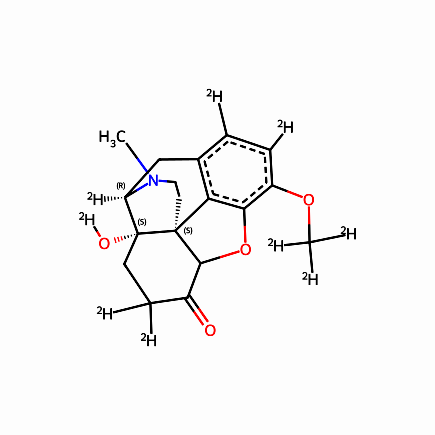 [2H]O[C@@]12CC([2H])([2H])C(=O)C3Oc4c(OC([2H])([2H])[2H])c([2H])c([2H])c5c4[C@@]31CCN(C)[C@]2([2H])C5